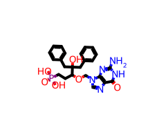 Nc1nc2c(ncn2COC(CCP(=O)(O)O)C(O)(Cc2ccccc2)Cc2ccccc2)c(=O)[nH]1